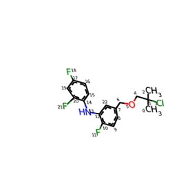 CC(C)(Cl)COCc1ccc(F)c(Nc2ccc(F)cc2F)c1